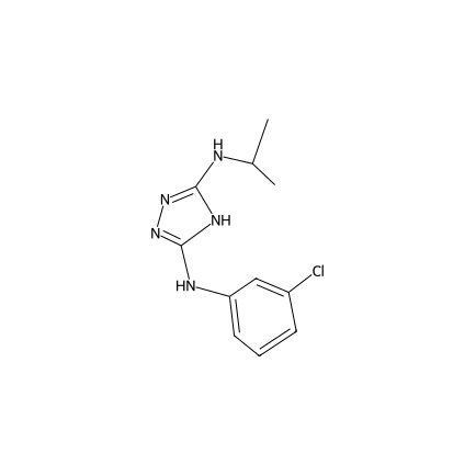 CC(C)Nc1nnc(Nc2cccc(Cl)c2)[nH]1